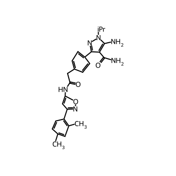 Cc1ccc(-c2cc(NC(=O)Cc3ccc(-c4nn(C(C)C)c(N)c4C(N)=O)cc3)on2)c(C)c1